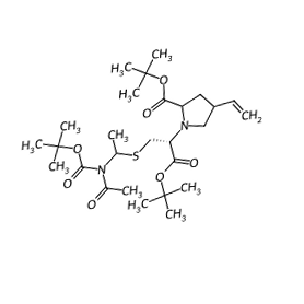 C=CC1CC(C(=O)OC(C)(C)C)N([C@@H](CSC(C)N(C(C)=O)C(=O)OC(C)(C)C)C(=O)OC(C)(C)C)C1